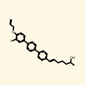 C=CCOc1ccc(-c2ccc(-c3ccc(/C=C/CCCC(C)O)cc3)cc2)cc1F